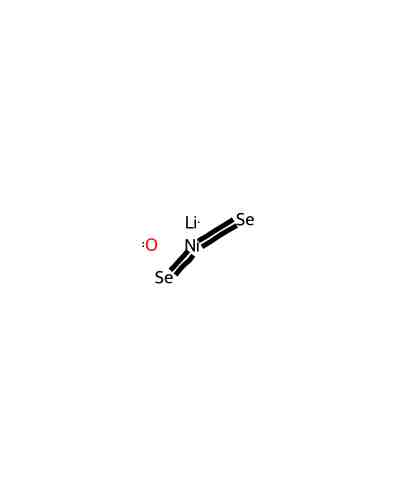 [Li].[O].[Se]=[Ni]=[Se]